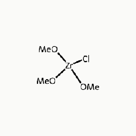 C[O][Zr]([Cl])([O]C)[O]C